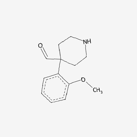 COc1ccccc1C1(C=O)CCNCC1